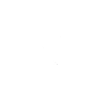 [S]=[Sn][CH]1CCCCC1